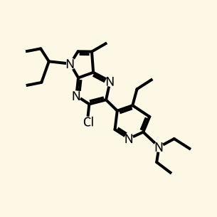 CCc1cc(N(CC)CC)ncc1-c1nc2c(C)cn(C(CC)CC)c2nc1Cl